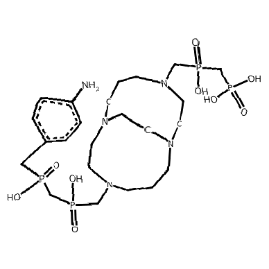 Nc1ccc(CP(=O)(O)CP(=O)(O)CN2CCCN3CCN(CCCN(CP(=O)(O)CP(=O)(O)O)CC3)CC2)cc1